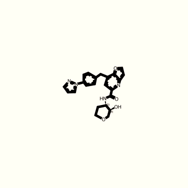 O=C(N[C@H]1CCOC[C@@H]1O)c1cc(Cc2ccc(-n3cccn3)cc2)c2occc2n1